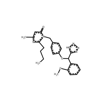 CCCCc1nc(C)cc(=O)n1Cc1ccc(OC(c2nnn[nH]2)c2ccccc2OC)cc1